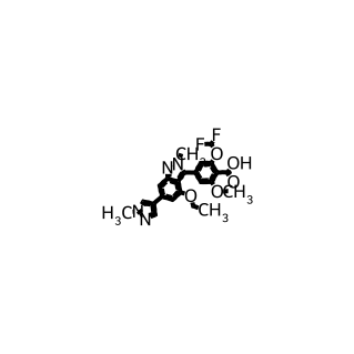 CCOc1cc(-c2cnn(C)c2)cc2nn(C)c(-c3cc(OC)c(C(=O)O)c(OC(F)F)c3)c12